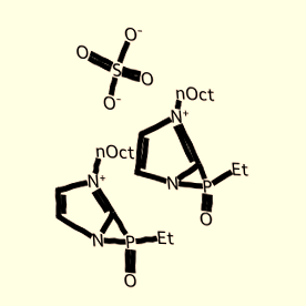 CCCCCCCC[n+]1ccn2c1P2(=O)CC.CCCCCCCC[n+]1ccn2c1P2(=O)CC.O=S(=O)([O-])[O-]